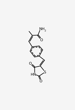 CC(=Cc1ccc(C=C2SC(=O)NC2=O)cc1)C(N)=O